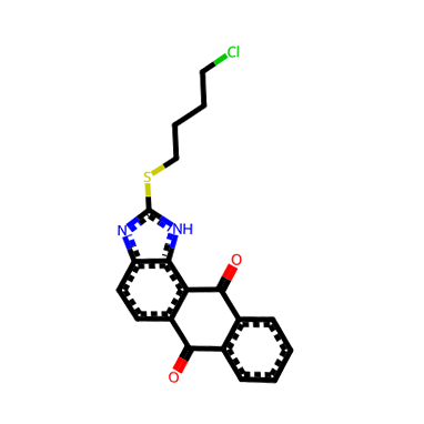 O=C1c2ccccc2C(=O)c2c1ccc1nc(SCCCCCl)[nH]c21